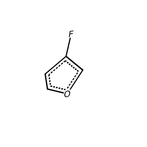 Fc1ccoc1